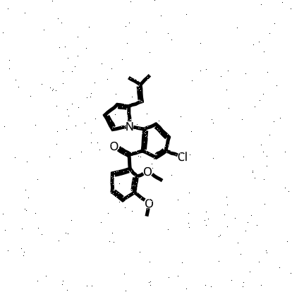 COc1cccc(C(=O)c2cc(Cl)ccc2-n2cccc2C=C(C)C)c1OC